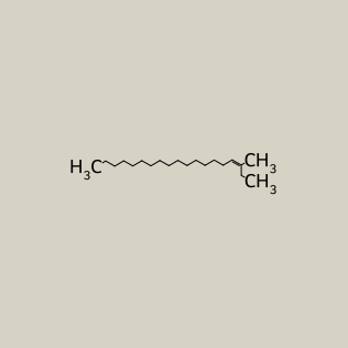 CCCCCCCCCCCCCCCC=C(C)CC